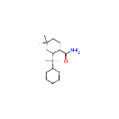 CC1(C)CCC(C(N)=O)C(C(C)(C)C2CCCCC2)C1